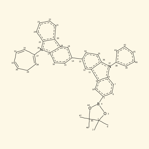 CC1(C)OB(c2ccc3c(c2)c2cc(-c4ccc5c(c4)c4ccccc4n5C4=CCC=CC=C4)ccc2n3-c2ccccc2)OC1(C)C